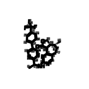 C[C@H](Nc1ncc(F)c(N2C(=O)OC[C@@H]2[C@H](C)F)n1)c1ncc(-c2ccc(C(F)(F)F)cc2)cn1